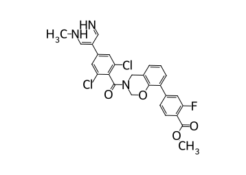 CN/C=C(\C=N)c1cc(Cl)c(C(=O)N2COc3c(cccc3-c3ccc(C(=O)OC)c(F)c3)C2)c(Cl)c1